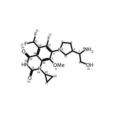 COc1c(N2CCC(C(N)CO)C2)c(F)c(C(F)F)c2c(=O)[nH]c(=O)n(C3CC3)c12